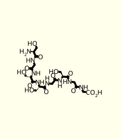 N[C@@H](CO)C(=O)NCC(=O)N[C@@H](CO)C(=O)N[C@@H](CO)C(=O)NCC(=O)N[C@@H](CO)C(=O)NCC(=O)NCC(=O)O